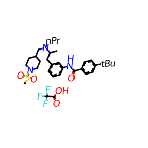 CCCN(CC1CCN(S(C)(=O)=O)CC1)C(C)Cc1cccc(NC(=O)c2ccc(C(C)(C)C)cc2)c1.O=C(O)C(F)(F)F